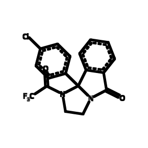 O=C1c2ccccc2C2(c3ccc(Cl)cc3)N1CCN2C(=O)C(F)(F)F